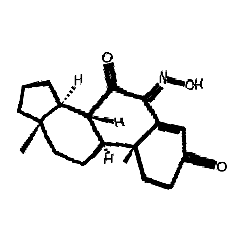 C[C@@]12CCC[C@H]1[C@@H]1C(=O)/C(=N/O)C3=CC(=O)CC[C@]3(C)[C@H]1CC2